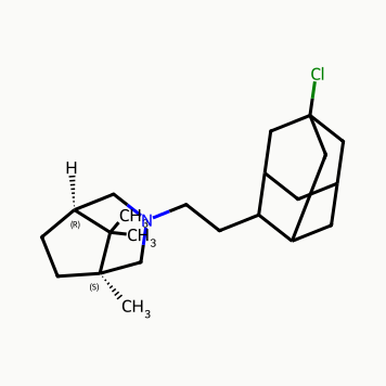 CC1(C)[C@H]2CC[C@]1(C)CN(CCC1C3CC4CC1CC(Cl)(C4)C3)C2